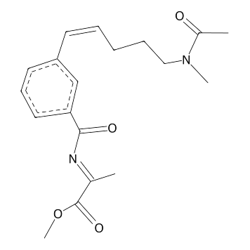 COC(=O)/C(C)=N/C(=O)c1cccc(/C=C\CCCN(C)C(C)=O)c1